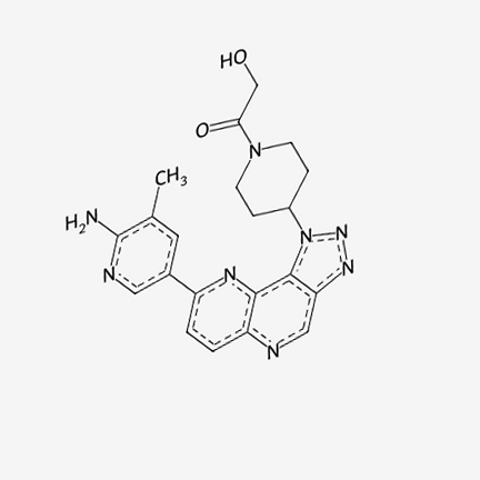 Cc1cc(-c2ccc3ncc4nnn(C5CCN(C(=O)CO)CC5)c4c3n2)cnc1N